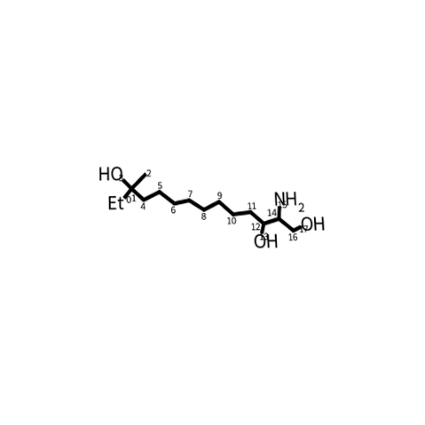 CCC(C)(O)CCCCCCCCC(O)C(N)CO